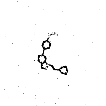 COc1ccc(-c2ccc3cnn(C=Cc4ccccc4)c3c2)cc1